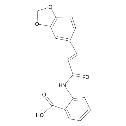 O=C(C=Cc1ccc2c(c1)OCO2)Nc1ccccc1C(=O)O